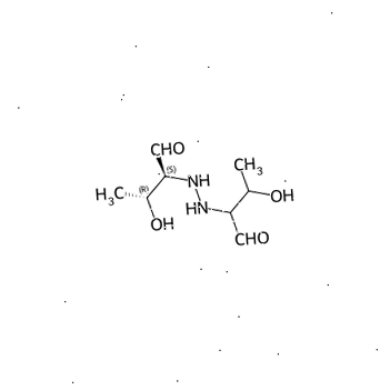 CC(O)C(C=O)NN[C@H](C=O)[C@@H](C)O